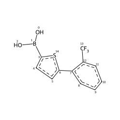 OB(O)c1ccc(-c2ccccc2C(F)(F)F)s1